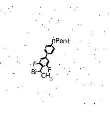 CCCCCc1ccc(-c2cc(F)c(C(C)Br)c(F)c2)cc1